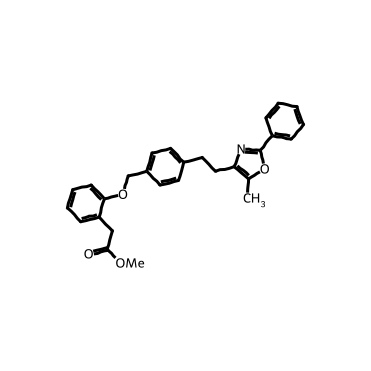 COC(=O)Cc1ccccc1OCc1ccc(CCc2nc(-c3ccccc3)oc2C)cc1